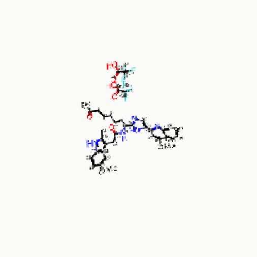 CCC(=O)CCCCC[C@H](NC(=O)Cc1c(C)[nH]c2ccc(OC)cc12)c1ncc(-c2cc(OC)c3ccccc3n2)[nH]1.O=C(O)C(F)(F)F.O=C(O)C(F)(F)F